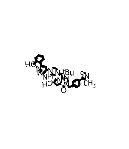 Cc1ncsc1-c1ccc(CNC(=O)[C@@H]2C[C@@H](O)CN2C(=O)[C@@H](N2CCN(c3cc(-c4ccccc4O)nnc3N)CC2)C(C)(C)C)cc1